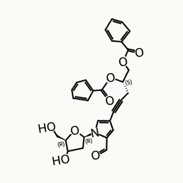 O=Cc1cc(C#CC[C@@H](COC(=O)c2ccccc2)OC(=O)c2ccccc2)cn1[C@H]1CC(O)[C@@H](CO)O1